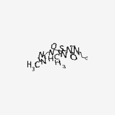 Cc1cnc(CNC(=O)c2sc(N3CCN(CCC4CC4)C3=O)nc2C)cn1